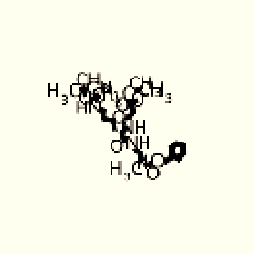 CN(CCNC(=O)[C@H](CCCCNC(=O)OC(C)(C)C)NC(=O)CC(=O)OC(C)(C)C)C(=O)OCc1ccccc1